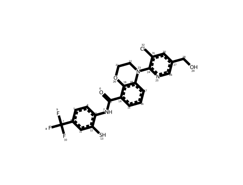 O=C(Nc1ccc(C(F)(F)F)cc1S)c1cccc2c1OCCN2c1ncc(CO)cc1Cl